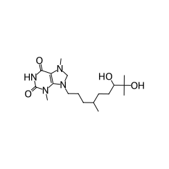 CC(CCCN1CN(C)c2c1n(C)c(=O)[nH]c2=O)CCC(O)C(C)(C)O